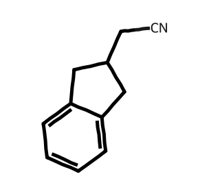 N#CCC1Cc2ccccc2C1